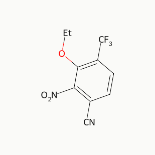 CCOc1c(C(F)(F)F)ccc(C#N)c1[N+](=O)[O-]